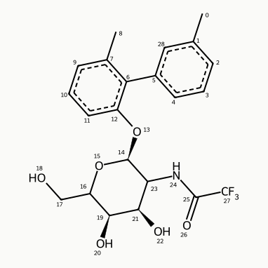 Cc1cccc(-c2c(C)cccc2O[C@@H]2OC(CO)[C@H](O)[C@H](O)C2NC(=O)C(F)(F)F)c1